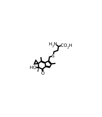 CC1=C(CSCCC(N)C(=O)O)C2=C(C)C3(CC3)[C@@](C)(O)C(=O)C2=C1